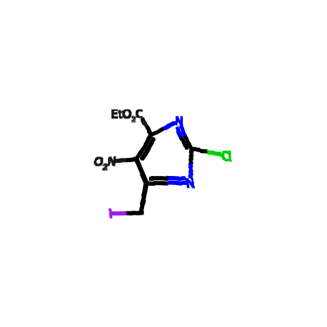 CCOC(=O)c1nc(Cl)nc(CI)c1[N+](=O)[O-]